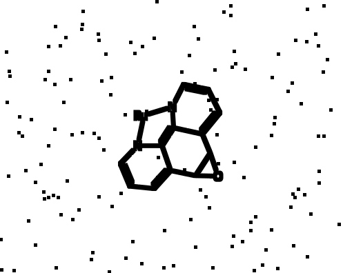 C1=C[N]2[Ru][N]3C=CC=C4C3=C2C(=C1)C1OC41